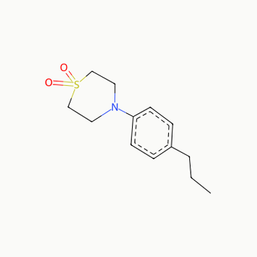 CCCc1ccc(N2CCS(=O)(=O)CC2)cc1